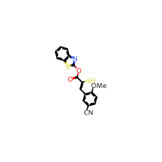 COc1ccc(C#N)cc1C=C(S)C(=O)Oc1nc2ccccc2s1